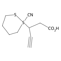 C#CC(CC(=O)O)S1(C#N)CCCCS1